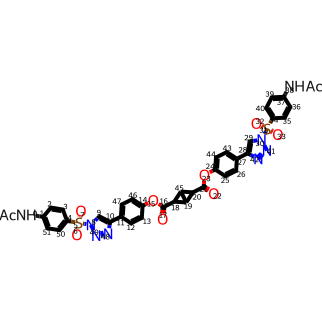 CC(=O)Nc1ccc(S(=O)(=O)n2cc(-c3ccc(OC(=O)C4C5C(C(=O)Oc6ccc(-c7cn(S(=O)(=O)c8ccc(NC(C)=O)cc8)nn7)cc6)C45)cc3)nn2)cc1